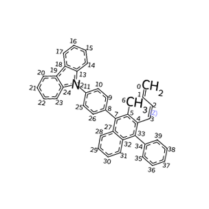 C=C/C=C\c1c(C)c(-c2ccc(-n3c4ccccc4c4ccccc43)cc2)c2ccccc2c1-c1ccccc1